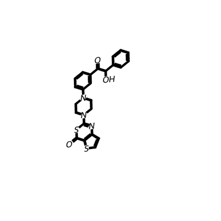 O=C(c1cccc(N2CCN(c3nc4ccsc4c(=O)s3)CC2)c1)C(O)c1ccccc1